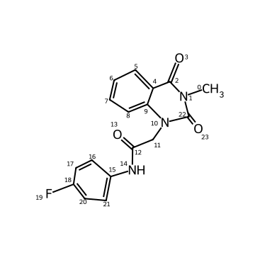 Cn1c(=O)c2ccccc2n(CC(=O)Nc2ccc(F)cc2)c1=O